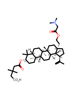 C=C(C)[C@@H]1CC[C@]2(CCOC(=O)CN(C)C)CC[C@]3(C)[C@H](CC[C@@H]4[C@@]5(C)CC[C@H](OC(=O)CC(C)(C)CC(=O)O)C(C)(C)[C@@H]5CC[C@]43C)[C@@H]12